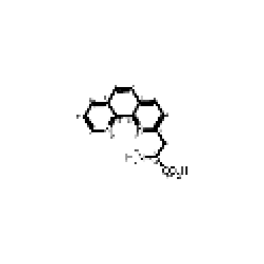 N[C@@H](Cc1ccc2ccc3cccnc3c2n1)C(=O)O